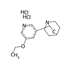 CCOc1cncc(C2CC3CCN2CC3)c1.Cl.Cl